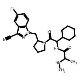 CNC(C)C(=O)NC(C(=O)N1CCCC1Cn1nc(C#N)c2cc(Cl)ccc21)C1CCCCC1